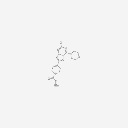 CC(C)(C)OC(=O)N1CC=C(C2=CC3N=C(Cl)N=C(N4CCOCC4)C3S2)CC1